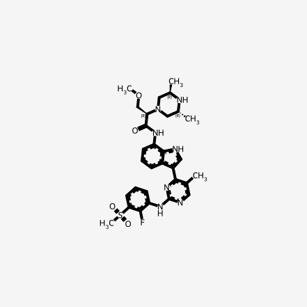 COC[C@H](C(=O)Nc1cccc2c(-c3nc(Nc4cccc(S(C)(=O)=O)c4F)ncc3C)c[nH]c12)N1C[C@@H](C)N[C@H](C)C1